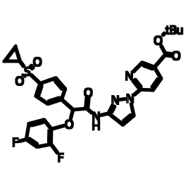 CC(C)(C)OC(=O)c1ccc(-n2ccc(NC(=O)C(Oc3ccc(F)cc3F)c3ccc(S(=O)(=O)C4CC4)cc3)n2)nc1